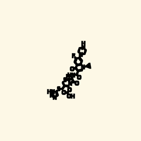 O=C(O)OC1=C(CSc2cnn[nH]2)CS[C@H]2C(NC(=O)c3cn(C4CC4)c4cc(N5CCNCC5)c(F)cc4c3=O)C(=O)N12